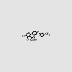 CCC1COC(c2ccc(Oc3cccc(C(F)(F)F)c3)cc2)=C(C(=O)OC)C1=O